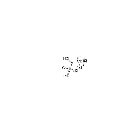 CCCC.O=C(O)Cl.O=P(O)(O)CO